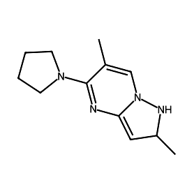 CC1=CN2NC(C)C=C2N=C1N1CCCC1